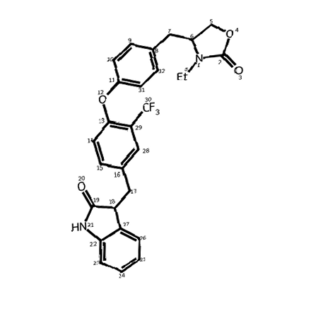 CCN1C(=O)OCC1Cc1ccc(Oc2ccc(CC3C(=O)Nc4ccccc43)cc2C(F)(F)F)cc1